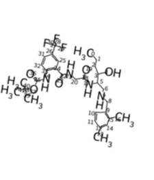 CCCC(O)C(CNCc1ccc(C)cc1C)NC(=O)CNC(=O)c1cc(C(F)(F)F)ccc1NC(=O)OC(C)(C)C